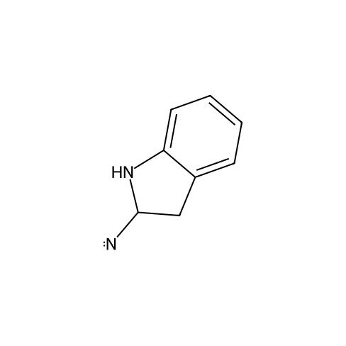 [N]C1Cc2ccccc2N1